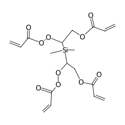 C=CC(=O)OCC(OOC(=O)C=C)[Si](C)(C)C(COC(=O)C=C)OOC(=O)C=C